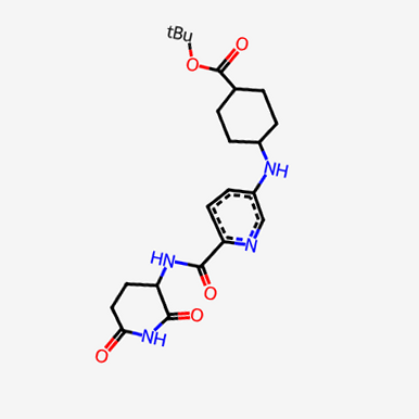 CC(C)(C)OC(=O)C1CCC(Nc2ccc(C(=O)NC3CCC(=O)NC3=O)nc2)CC1